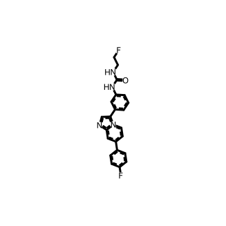 O=C(NCCF)Nc1cccc(-c2cnc3cc(-c4ccc(F)cc4)ccn23)c1